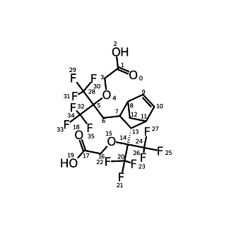 O=C(O)COC(CC1C2C=CC(C2)[C@@H]1C(OCC(=O)O)(C(F)(F)F)C(F)(F)F)(C(F)(F)F)C(F)(F)F